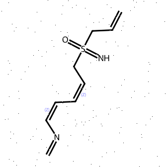 C=CCS(=N)(=O)C/C=C\C=C/N=C